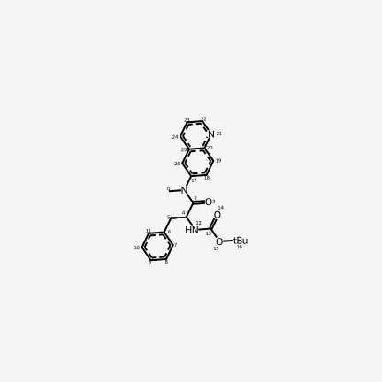 CN(C(=O)[C@H](Cc1ccccc1)NC(=O)OC(C)(C)C)c1ccc2ncccc2c1